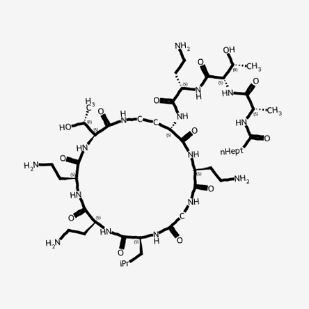 CCCCCCCC(=O)N[C@@H](C)C(=O)N[C@H](C(=O)N[C@@H](CCN)C(=O)N[C@H]1CCNC(=O)[C@H]([C@@H](C)O)NC(=O)[C@H](CCN)NC(=O)[C@H](CCN)NC(=O)[C@H](CC(C)C)NC(=O)CNC(=O)[C@H](CCN)NC1=O)[C@@H](C)O